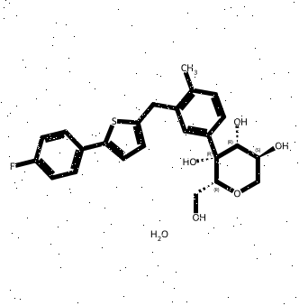 Cc1ccc([C@@]2(O)[C@H](O)[C@@H](O)CO[C@@H]2CO)cc1Cc1ccc(-c2ccc(F)cc2)s1.O